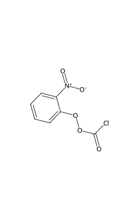 O=C(Cl)OOc1ccccc1[N+](=O)[O-]